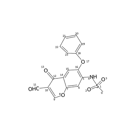 CS(=O)(=O)Nc1cc2occ(C=O)c(=O)c2cc1Oc1ccccc1